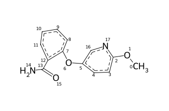 COc1ccc(Oc2ccccc2C(N)=O)cn1